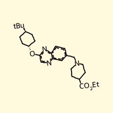 CCOC(=O)C1CCN(Cc2ccc3nc(O[C@H]4CC[C@H](C(C)(C)C)CC4)cnc3c2)CC1